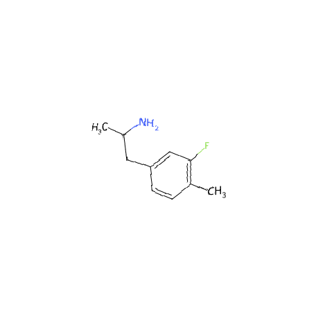 Cc1ccc(CC(C)N)cc1F